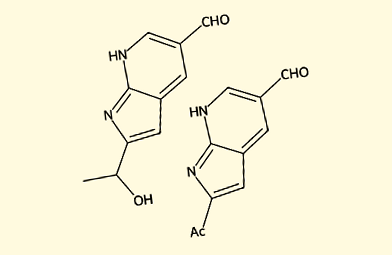 CC(=O)c1cc2cc(C=O)c[nH]c-2n1.CC(O)c1cc2cc(C=O)c[nH]c-2n1